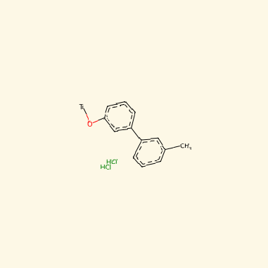 Cc1cccc(-c2cccc([O][Ti])c2)c1.Cl.Cl